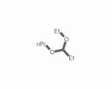 [CH2]CC(OCC)OCCC